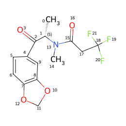 C[C@@H](C(=O)c1ccc2c(c1)OCO2)N(C)C(=O)CC(F)(F)F